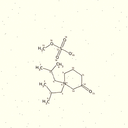 CC(C)C[N+]1(CC(C)C)CCCC(=O)C1.COS(=O)(=O)[O-]